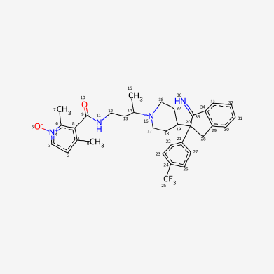 Cc1cc[n+]([O-])c(C)c1C(=O)NCCC(C)N1CCC(C2(c3ccc(C(F)(F)F)cc3)Cc3ccccc3C2=N)CC1